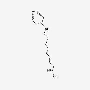 ONCCCCCCCCNc1ccccc1